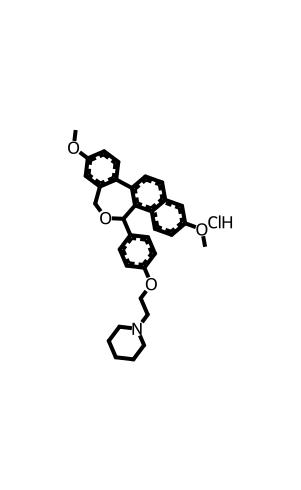 COc1ccc2c(c1)COC(c1ccc(OCCN3CCCCC3)cc1)c1c-2ccc2cc(OC)ccc12.Cl